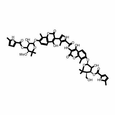 CO[C@H]1C(OC(=O)c2ccc(C)[nH]2)[C@@H](O)[C@@H](Oc2ccc3c(O)c(-c4c[nH]c(C(=O)Nc5c(O)c6ccc(O[C@@H]7OC(C)(C)[C@H](CO)[C@H](OC(=O)c8ccc(C)[nH]8)C7O)c(C)c6oc5=O)c4C)c(=O)oc3c2C)OC1(C)C